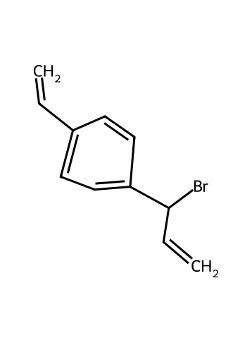 C=Cc1ccc(C(Br)C=C)cc1